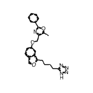 Cc1oc(-c2ccccc2)nc1COc1ccc2coc(CCCCc3nnn[nH]3)c2c1